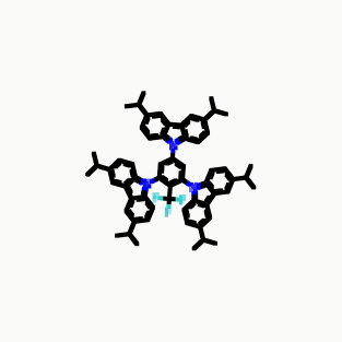 CC(C)c1ccc2c(c1)c1cc(C(C)C)ccc1n2-c1cc(-n2c3ccc(C(C)C)cc3c3cc(C(C)C)ccc32)c(C(F)(F)F)c(-n2c3ccc(C(C)C)cc3c3cc(C(C)C)ccc32)c1